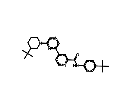 CC(C)(C)c1ccc(NC(=O)c2cc(-c3cncc(N4CCCC(C(C)(C)C)C4)n3)ccn2)cc1